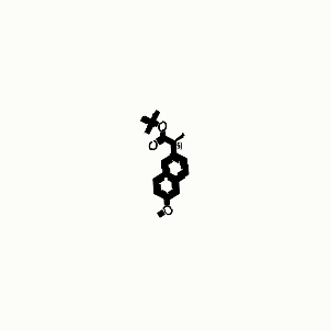 COc1ccc2cc([C@H](C)C(=O)OC(C)(C)C)ccc2c1